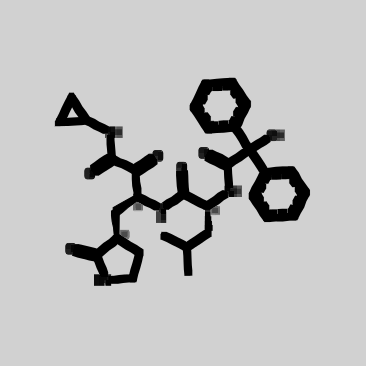 CC(C)C[C@@H](NC(=O)C(O)(c1ccccc1)c1ccccc1)C(=O)N[C@@H](C[C@H]1CCNC1=O)C(=O)C(=O)NC1CC1